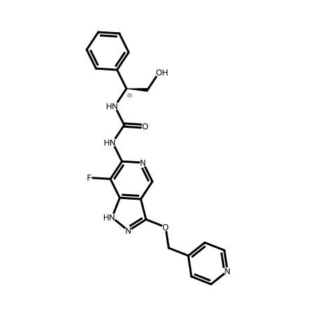 O=C(Nc1ncc2c(OCc3ccncc3)n[nH]c2c1F)N[C@H](CO)c1ccccc1